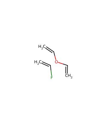 C=CF.C=COC=C